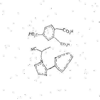 CC(C#N)n1ccnc1-c1ccccc1.O=C(O)c1ccc(C(=O)O)c(C(=O)O)c1